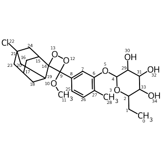 CCC1OC(Oc2cc(C3(OC)OOC34C3CC5CC4CC(Cl)(C5)C3)ccc2C)C(O)C(O)C1O